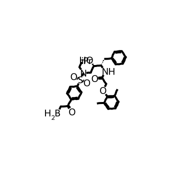 BCC(=O)c1ccc(S(=O)(=O)N(CC(C)C)C[C@@H](O)[C@H](Cc2ccccc2)NC(=O)COc2c(C)cccc2C)cc1